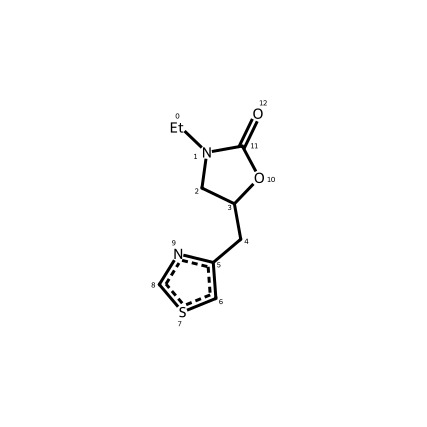 CCN1CC(Cc2cscn2)OC1=O